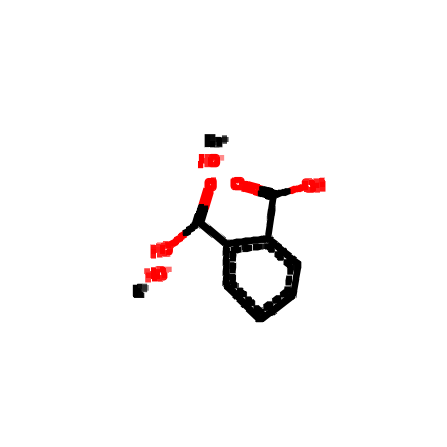 O=C(O)c1ccccc1C(=O)O.[K+].[Na+].[OH-].[OH-]